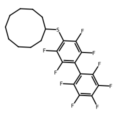 Fc1c(F)c(F)c(-c2c(F)c(F)c(SC3CCCCCCCCC3)c(F)c2F)c(F)c1F